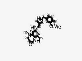 COc1cc(Cn2cc(CNc3cc4c(c(C)n3)NC3OC3CN4C)cn2)ccc1F